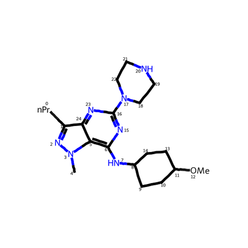 CCCc1nn(C)c2c(NC3CCC(OC)CC3)nc(N3CCNCC3)nc12